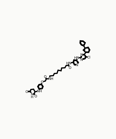 O=C(COc1ccc(NC2CCC(=O)NC2=O)cc1)NCCCCCCCCCC(=O)Nc1cncc(Nc2ncc(Cl)c(-c3cccc(-c4ccccc4)c3)n2)c1